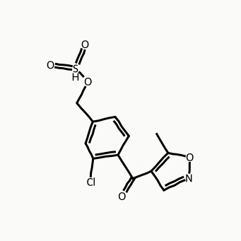 Cc1oncc1C(=O)c1ccc(CO[SH](=O)=O)cc1Cl